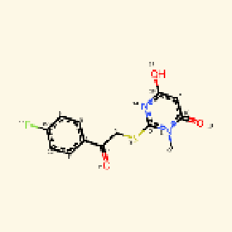 Cn1c(SCC(=O)c2ccc(F)cc2)nc(O)cc1=O